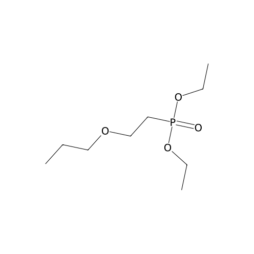 CCCOCCP(=O)(OCC)OCC